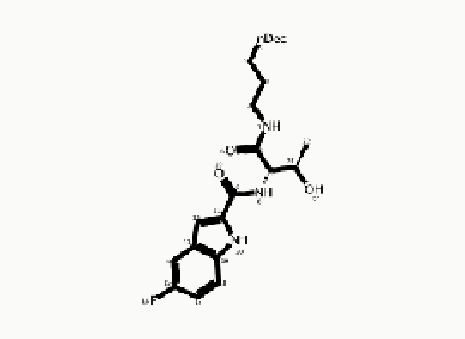 CCCCCCCCCCCCCNC(=O)[C@@H](NC(=O)c1cc2cc(F)ccc2[nH]1)[C@@H](C)O